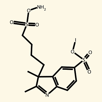 CC1=Nc2ccc(S(=O)(=O)OI)cc2C1(C)CCCCS(=O)(=O)ON